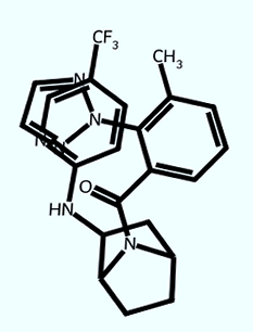 Cc1cccc(C(=O)N2C3CCC2C(Nc2ccc(C(F)(F)F)cn2)C3)c1-n1nccn1